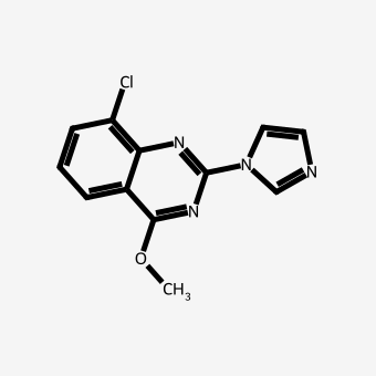 COc1nc(-n2ccnc2)nc2c(Cl)cccc12